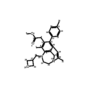 COC(=O)Cc1c(C)c2c3c(c1-c1ccc(C)cc1)C=C(C)N(CCN2CC1COC1)C3